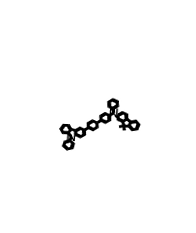 CC1(C)c2ccccc2-c2ccc(N(c3ccccc3)c3ccc(C4C=CC(c5ccc6c(c5)c5ccccc5n6-c5ccccc5)=CC4)cc3)cc21